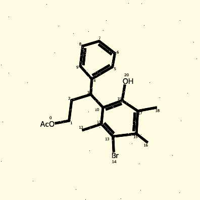 CC(=O)OCCC(c1ccccc1)c1c(C)c(Br)c(C)c(C)c1O